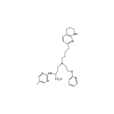 Cc1cnc(NC(CCN(CCCCc2ccc3c(n2)NCCC3)CCOc2ccccn2)C(=O)O)nc1